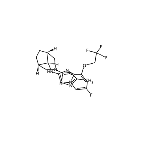 Cc1cc(N2C[C@H]3CC[C@@H](C2)[C@@H]3Nc2nc3c(OCC(F)(F)F)cc(F)cn3n2)sn1